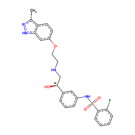 Cc1n[nH]c2cc(OCCNC[C@H](O)c3cccc(NS(=O)(=O)c4ccccc4F)c3)ccc12